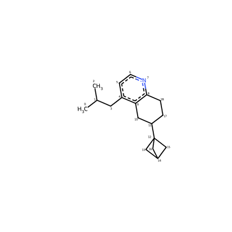 CC(C)Cc1ccnc2c1CC(C13CC(C1)C3)CC2